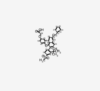 CC(C)(C)c1cc(S(C)(=O)=O)ccc1-c1ccc2cc(OCc3ccccc3)ccc2c1Oc1ccc(OCC(=O)O)cc1